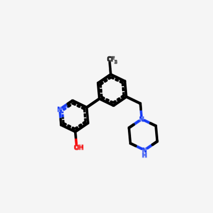 Oc1cncc(-c2cc(CN3CCNCC3)cc(C(F)(F)F)c2)c1